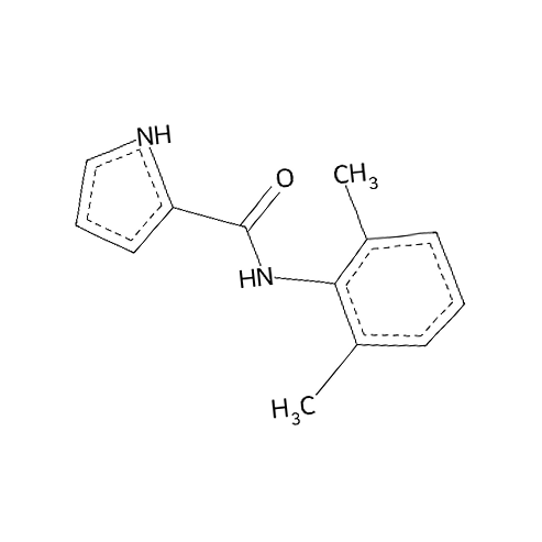 Cc1cccc(C)c1NC(=O)c1ccc[nH]1